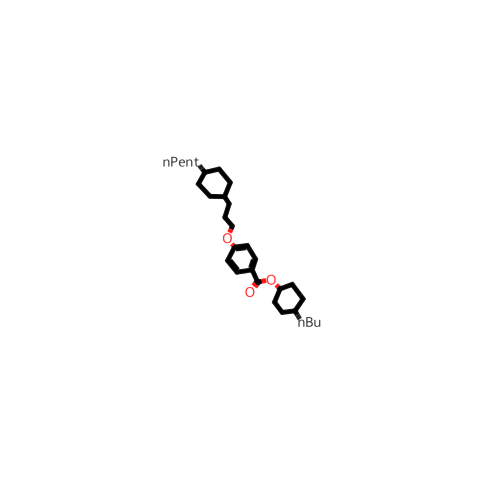 CCCCCC1CCC(CCCOc2ccc(C(=O)OC3CCC(CCCC)CC3)cc2)CC1